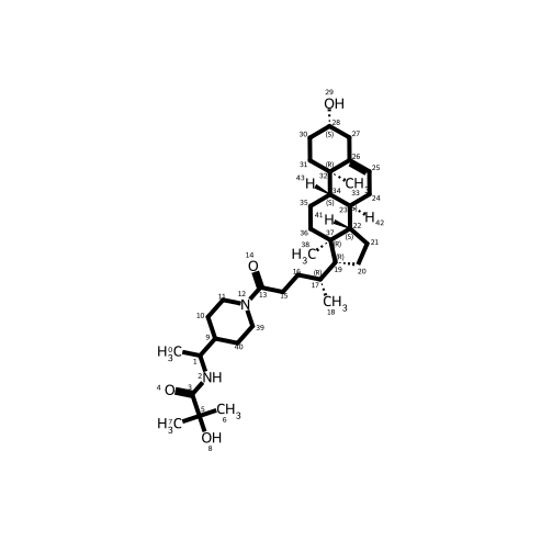 CC(NC(=O)C(C)(C)O)C1CCN(C(=O)CC[C@@H](C)[C@H]2CC[C@H]3[C@@H]4CC=C5C[C@@H](O)CC[C@]5(C)[C@H]4CC[C@]23C)CC1